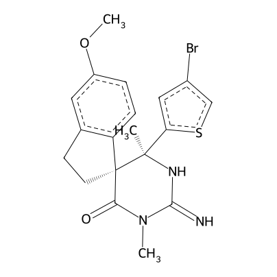 COc1ccc2c(c1)CC[C@]21C(=O)N(C)C(=N)N[C@]1(C)c1cc(Br)cs1